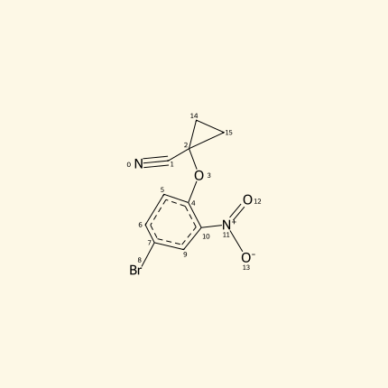 N#CC1(Oc2ccc(Br)cc2[N+](=O)[O-])CC1